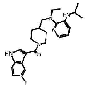 CCN(CC1CCN(C(=O)c2c[nH]c3ccc(F)cc23)CC1)c1ncccc1NC(C)C